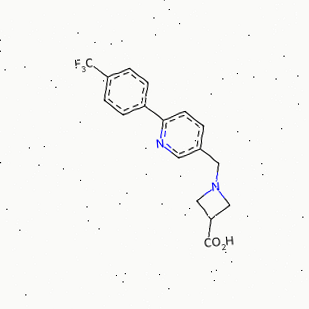 O=C(O)C1CN(Cc2ccc(-c3ccc(C(F)(F)F)cc3)nc2)C1